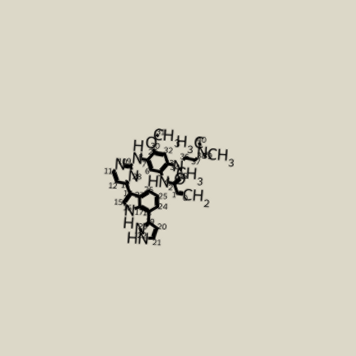 C=CC(=O)Nc1cc(Nc2nccc(-c3c[nH]c4c(-c5cc[nH]n5)cccc34)n2)c(OC)cc1N(C)CCN(C)C